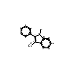 CC1C(c2ccccc2)=[C]([Gd])c2ccccc21